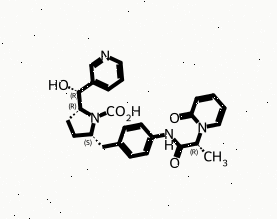 C[C@H](C(=O)Nc1ccc(C[C@@H]2CC[C@H]([C@H](O)c3cccnc3)N2C(=O)O)cc1)n1ccccc1=O